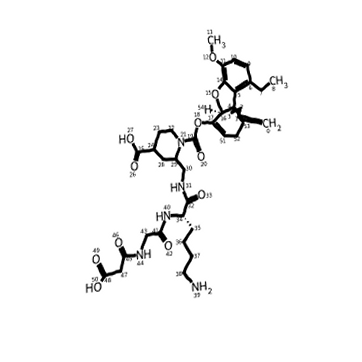 C=C1CC[C@]23c4c(CC)ccc(OC)c4O[C@@H]2C(OC(=O)N2CCC(C(=O)O)CC2CNC(=O)[C@H](CCCCN)NC(=O)CNC(=O)CC(=O)O)=CCC13